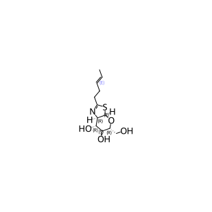 C/C=C/CCC1=N[C@@H]2[C@@H](O)[C@H](O)[C@@H](CO)O[C@@H]2S1